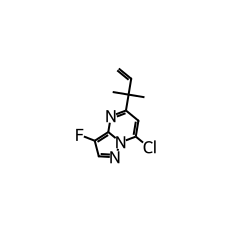 C=CC(C)(C)c1cc(Cl)n2ncc(F)c2n1